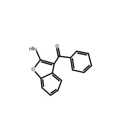 CCCCc1oc2ccccc2c1C(=O)c1ccccc1